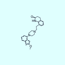 COc1cc2c(N3CCN(CCc4cccc5c4NC(=O)CC5)CC3)cccc2s1